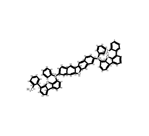 Cc1ccccc1-c1cccc2c1oc1c(N(c3ccccc3)c3ccc4cc5c(cc4c3)oc3cc4cc(N(c6ccccc6)c6cccc7c6oc6c(-c8ccccc8C)cccc67)ccc4cc35)cccc12